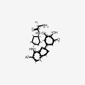 CC(=O)c1cnc2ccc(-c3cc(Cl)c(O)c(Cl)c3)cc2c1N[C@H]1CC[C@H](NC(=O)[C@H](C)N)CC1